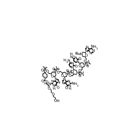 CCC(C)N1CC(COP(=O)(N(C)C)N2CC(COP(=O)(N(C)C)N3CC(COP(=O)(N(C)C)N4CC(COP(=O)(N(C)C)N5CC(COP(=O)(N(C)C)N6CCN(C(=O)OCCOCCOCCO)CC6)OC(n6cnc7c(=O)[nH]c(N)nc76)C5)OC(n5cnc6c(=O)[nH]c(N)nc65)C4)OC(n4ccc(N)nc4=O)C3)OC(n3ccc(N)nc3=O)C2)OC(n2cnc3c(N)ncnc32)C1